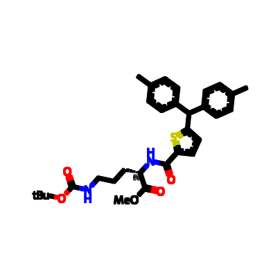 COC(=O)[C@H](CCCNC(=O)OC(C)(C)C)NC(=O)c1ccc(C(c2ccc(C)cc2)c2ccc(C)cc2)s1